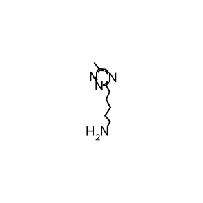 Cc1cnc(CCCCCN)nn1